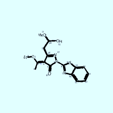 CCO/C(C)=C1/C(=O)N(c2nc3ccccc3s2)N=C1CC(O)OC